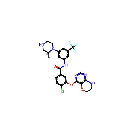 C[C@H]1CNCCN1c1cc(NC(=O)c2ccc(Cl)c(Oc3ncnc4c3OCCN4)c2)cc(C(F)(F)F)c1